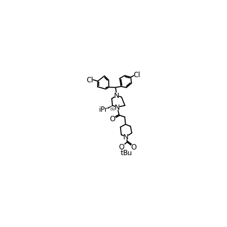 CC(C)[C@H]1CN(C(c2ccc(Cl)cc2)c2ccc(Cl)cc2)CCN1C(=O)CC1CCN(C(=O)OC(C)(C)C)CC1